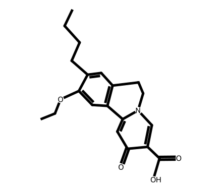 CCCCc1cc2c(cc1OCC)-c1cc(=O)c(C(=O)O)cn1CC2